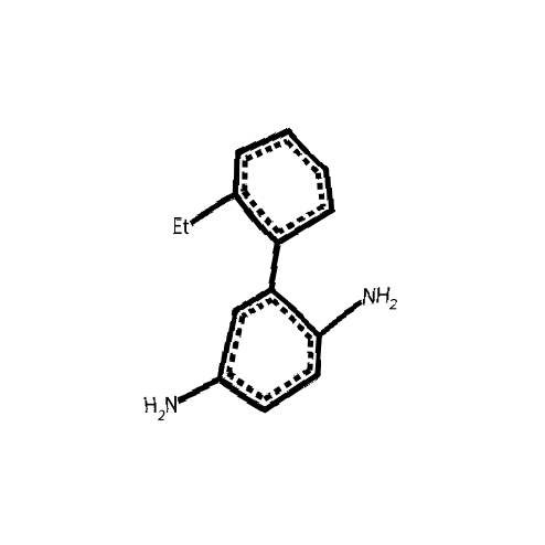 CCc1ccccc1-c1cc(N)ccc1N